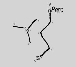 CCCCCCCC[S-].[CH3][Sn+]([CH3])[CH3]